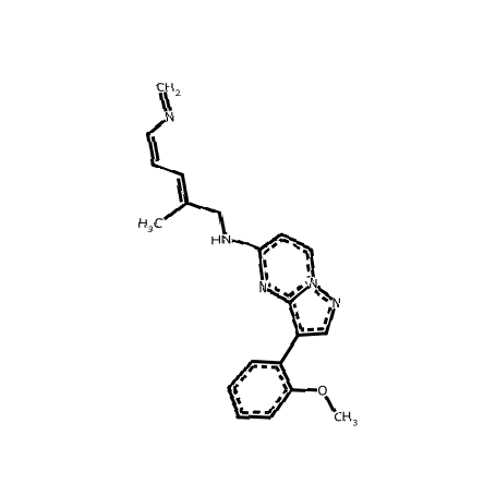 C=N/C=C\C=C(/C)CNc1ccn2ncc(-c3ccccc3OC)c2n1